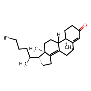 CC(C)CCC[C@@H](C)[C@H]1CCC2=C3CCC4=CC(=O)CC[C@]4(C)[C@H]3CC[C@@]21C